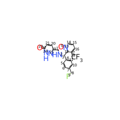 O=C(N[C@@H](c1ccc(CF)cc1)c1ncccc1C(F)(F)F)c1ccc(=O)[nH]n1